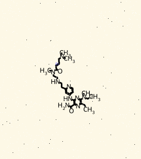 CCc1nc(C(N)=O)c(Nc2ccnc(CCNCCN(C)C(=O)/C=C/CN(C)C)c2)nc1N(C)CC